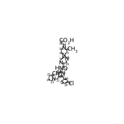 CC1CN(c2cnc(C(=O)Nc3nc(-c4cc(Cl)cs4)c(CN4CCCC4C)s3)cn2)CCN1CCC(=O)O